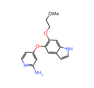 COCCOc1cc2[nH]ccc2cc1Oc1ccnc(N)c1